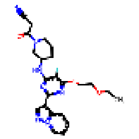 CCOCCOc1nc(-c2cnn3ccccc23)nc(N[C@@H]2CCCN(C(=O)CC#N)C2)c1F